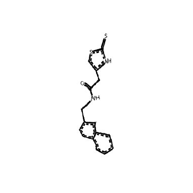 O=C(Cc1csc(=S)[nH]1)NCc1ccc2ccccc2c1